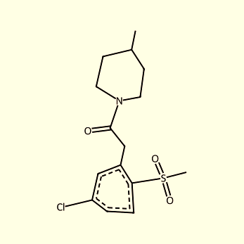 CC1CCN(C(=O)Cc2cc(Cl)ccc2S(C)(=O)=O)CC1